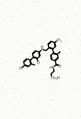 CCOC(=O)CCNC(=O)c1ccc(-c2cc(C(F)(F)F)ccc2CNc2ccc(-c3ccc(Cl)cc3C)c(Cl)c2)c(C)c1